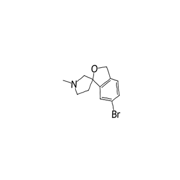 CN1CCC2(C1)OCc1ccc(Br)cc12